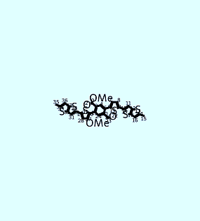 COC(=O)c1cc(-c2ccc(-c3cc4sc(C)cc4s3)s2)c(C(=O)OC)cc1-c1ccc(-c2cc3sc(C)cc3s2)s1